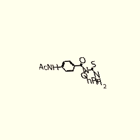 CCCON(C(=O)c1ccc(NC(C)=O)cc1)C(N)=S